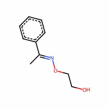 CC(=NOCCO)c1ccccc1